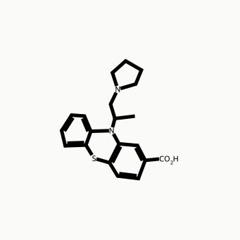 CC(CN1CCCC1)N1c2ccccc2Sc2ccc(C(=O)O)cc21